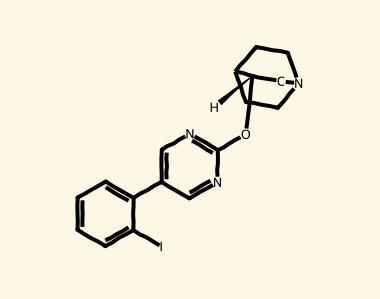 Ic1ccccc1-c1cnc(O[C@H]2CN3CCC2CC3)nc1